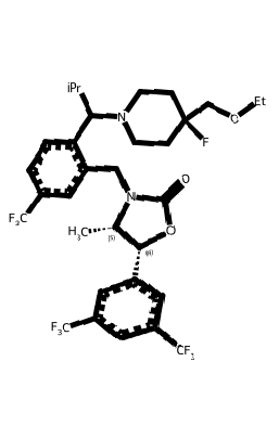 CCOCC1(F)CCN(C(c2ccc(C(F)(F)F)cc2CN2C(=O)O[C@H](c3cc(C(F)(F)F)cc(C(F)(F)F)c3)[C@@H]2C)C(C)C)CC1